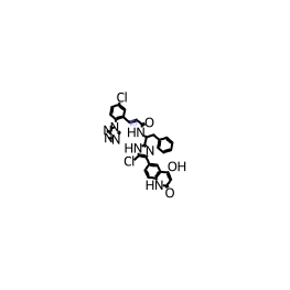 O=C(/C=C/c1cc(Cl)ccc1-n1cnnn1)NC(Cc1ccccc1)c1nc(-c2ccc3[nH]c(=O)cc(O)c3c2)c(Cl)[nH]1